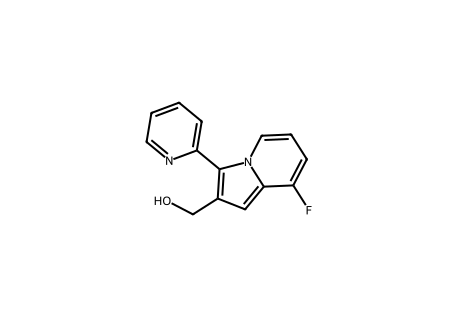 OCc1cc2c(F)cccn2c1-c1ccccn1